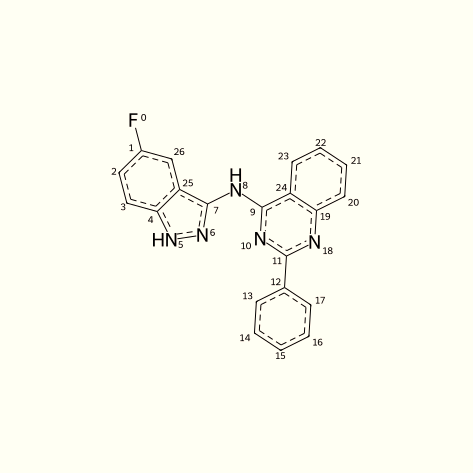 Fc1ccc2[nH]nc(Nc3nc(-c4ccccc4)nc4ccccc34)c2c1